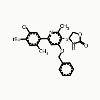 Cc1cc(C(C)(C)C)c(Cl)cc1-c1cc(OCc2ccccc2)c([C@@H]2COC(=O)N2)c(C)n1